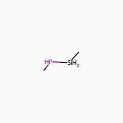 C[SiH2]PC